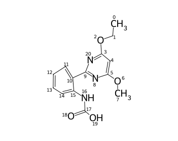 CCOc1cc(OC)nc(-c2ccccc2NC(=O)O)n1